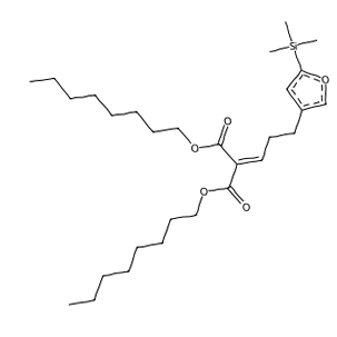 CCCCCCCCOC(=O)C(=CCCc1coc([Si](C)(C)C)c1)C(=O)OCCCCCCCC